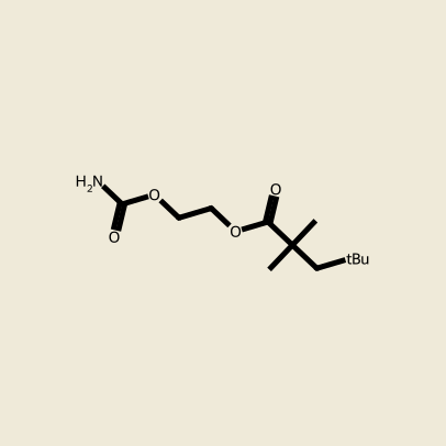 CC(C)(C)CC(C)(C)C(=O)OCCOC(N)=O